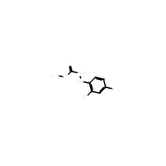 CC(C)(C)OC(=O)NNc1ccc(F)cc1F